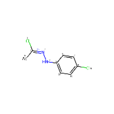 CC(=O)/C(Cl)=N\Nc1ccc(Cl)cc1